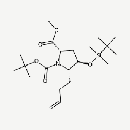 C=CCC[C@H]1[C@H](O[Si](C)(C)C(C)(C)C)C[C@@H](C(=O)OC)N1C(=O)OC(C)(C)C